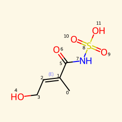 C/C(=C\CO)C(=O)NS(=O)(=O)O